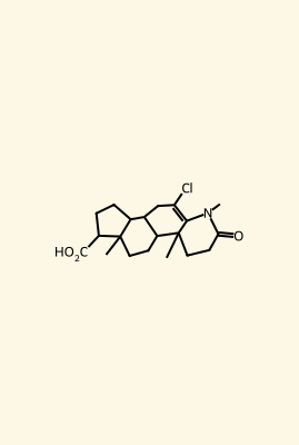 CN1C(=O)CCC2(C)C1=C(Cl)CC1C2CCC2(C)C(C(=O)O)CCC12